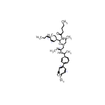 C#C/C=C(\C=C/CC)C1=CC=C=C(C(C)N/C(CN(CCC)OC(NC(=O)CCCC)C(/C=C\C=C/CC)CC)=N\C)C=C1